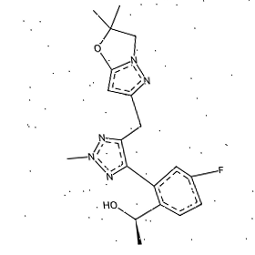 C[C@@H](O)c1ccc(F)cc1-c1nn(C)nc1Cc1cc2n(n1)CC(C)(C)O2